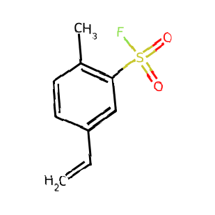 C=Cc1ccc(C)c(S(=O)(=O)F)c1